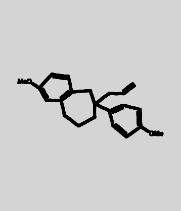 C=CCC1(c2ccc(OC)cc2)CCCc2cc(OC)ccc2C1